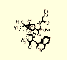 CCOCC(=O)N[C@H](C(=O)N1C[C@H]2[C@@H]([C@H]1C(=O)NC(C(N)=O)c1nncc3ccccc13)C2(C)C)C(C)(C)C